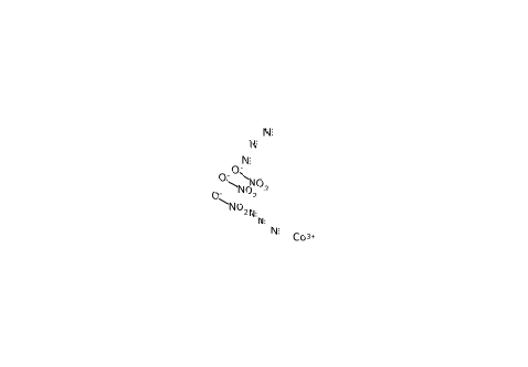 O=[N+]([O-])[O-].O=[N+]([O-])[O-].O=[N+]([O-])[O-].[Co+3].[N].[N].[N].[N].[N].[N]